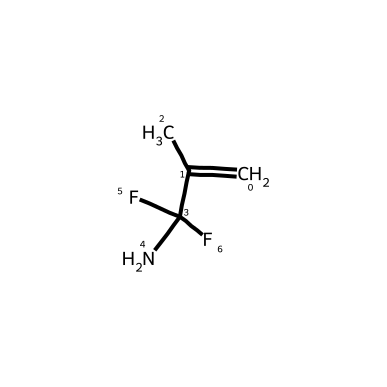 C=C(C)C(N)(F)F